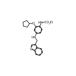 CCOC(=O)Nc1ccc(NCc2csc3ccccc23)cc1OC1CCCC1